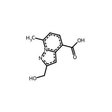 Cc1ccc(C(=O)O)c2cc(CO)nn12